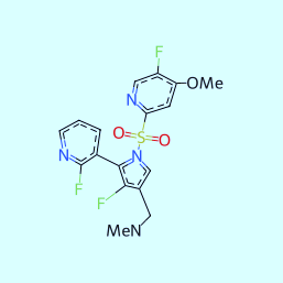 CNCc1cn(S(=O)(=O)c2cc(OC)c(F)cn2)c(-c2cccnc2F)c1F